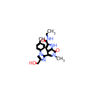 CCNC(=O)c1cc2c(-c3nc(CO)cn3-c3ccc(C)cc3)cn(C)c(=O)c2[nH]1